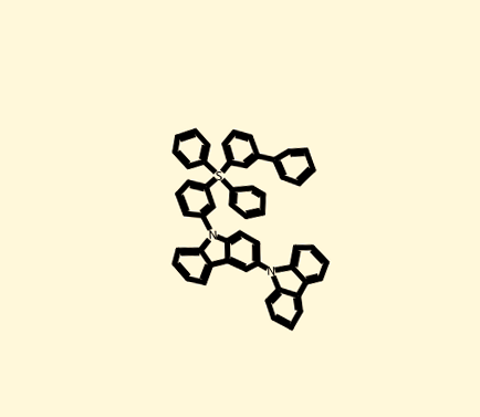 c1ccc(-c2cccc(S(c3ccccc3)(c3ccccc3)c3cccc(-n4c5ccccc5c5cc(-n6c7ccccc7c7ccccc76)ccc54)c3)c2)cc1